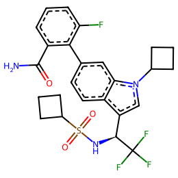 NC(=O)c1cccc(F)c1-c1ccc2c([C@H](NS(=O)(=O)C3CCC3)C(F)(F)F)cn(C3CCC3)c2c1